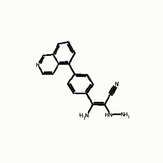 N#C/C(NN)=C(/N)c1ccc(-c2cccc3cnccc23)cc1